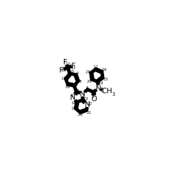 CN(C(=O)Cn1c(-c2ccc(C(F)(F)F)cc2)nc2cccnc21)c1ccccc1